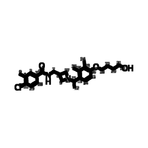 Cc1cc(C(=O)NCC2CN(C(C)c3ccc(OCCCCO)c(C)c3C)C2)ccc1Cl